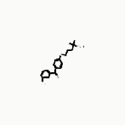 CC(C)(CCCOc1ccc(C(=O)c2cccc(C(F)(F)F)c2)cc1)C(=O)O